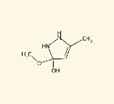 COC1(O)C=C(C)NN1